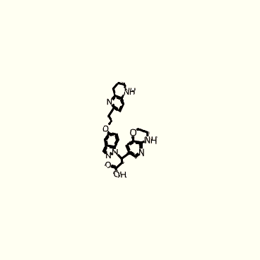 O=C(O)CC(c1cnc2c(c1)OCCN2)n1ncc2cc(OCCc3ccc4c(n3)CCCN4)ccc21